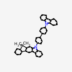 C[Si]1(C)c2ccccc2-c2cc3c4ccccc4n(-c4ccc(-c5ccc(-n6c7ccccc7c7ccccc76)cc5)cc4)c3cc21